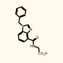 O=C(O)CNC(=O)c1cccc2c1ncn2Cc1ccccc1